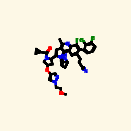 COCCn1cc(OC2CC(c3cc4c(C)nc5c(F)c(-c6cccc(Cl)c6Cl)c(CCC#N)cc5c4n3C3C4CNC3C4)N(C(=O)C3CC3)C2)cn1